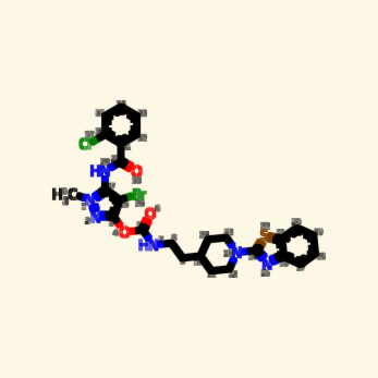 Cn1nc(OC(=O)NCCC2CCN(c3nc4ccccc4s3)CC2)c(Br)c1NC(=O)c1ccccc1Cl